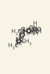 Cc1cnc(N2CCN(C(=O)c3ccc([C@@]4(C(C)C)NC(=O)NC4=O)cc3)[C@@H](C)C2)c(C)c1